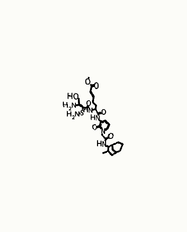 COC(=O)/C=C/CCC(NC(=O)/C(SN)=C(/N)CO)C(=O)Nc1cccn(CC(=O)NC2C(C)CC3CCCC2C3)c1=O